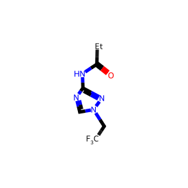 CCC(=O)Nc1ncn(CC(F)(F)F)n1